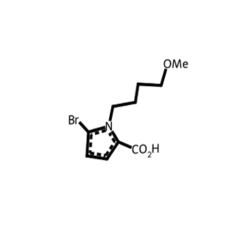 COCCCCn1c(Br)ccc1C(=O)O